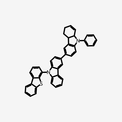 C1=CC2C(CC1)c1cc(-c3ccc4c(c3)c3ccccc3n4-c3cccc4c3sc3ccccc34)ccc1N2c1ccccc1